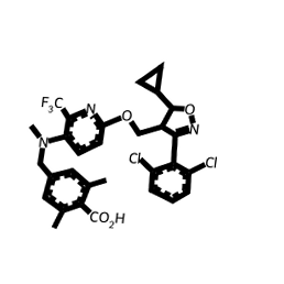 Cc1cc(CN(C)c2ccc(OCC3C(c4c(Cl)cccc4Cl)=NOC3C3CC3)nc2C(F)(F)F)cc(C)c1C(=O)O